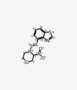 O=[N+]([O-])C1COCCN1SSc1cccc2scnc12